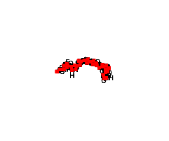 CCN(C)S(=O)(=O)Nc1ccc(F)c(C(=O)c2c[nH]c3ncc(-c4ccc(CN5CCN(C6CCN(C(=O)CC7CCN(c8cccc9c8C(=O)N(C8CCC(=O)NC8=O)C9=O)CC7)CC6)CC5)cc4)cc23)c1F